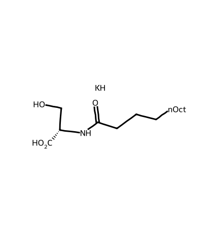 CCCCCCCCCCCC(=O)N[C@@H](CO)C(=O)O.[KH]